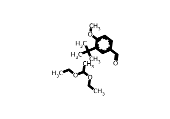 CCOC(C)OCC.COc1ccc(C=O)cc1C(C)(C)C